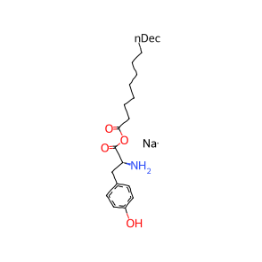 CCCCCCCCCCCCCCCCCC(=O)OC(=O)[C@@H](N)Cc1ccc(O)cc1.[Na]